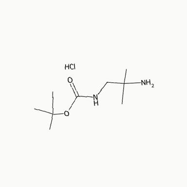 CC(C)(N)CNC(=O)OC(C)(C)C.Cl